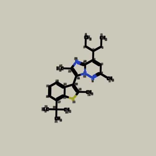 CCC(CC)c1cc(C)nn2c(-c3c(C)sc4c(C(C)(C)C)cccc34)c(C)nc12